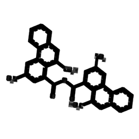 O=C(O)c1cc2ccccc2c2cc([N+](=O)[O-])cc(C(=O)OC(=O)c3cc([N+](=O)[O-])cc4c3c(C(=O)O)cc3ccccc34)c12